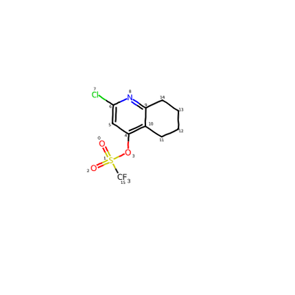 O=S(=O)(Oc1cc(Cl)nc2c1CCCC2)C(F)(F)F